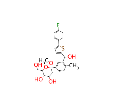 COC1(c2ccc(C)c(C(O)c3ccc(-c4ccc(F)cc4)s3)c2)CC(O)[C@H](O)C(CO)O1